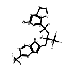 CC(C)(CC(O)(Cc1cc2cc(C(F)(F)F)ncc2[nH]1)C(F)(F)F)c1cc(Cl)cc2c1OCC2